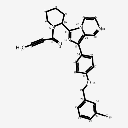 CC#CC(=O)N1CCCCC1c1nc(-c2ccc(OCc3cccc(F)c3)cc2)c2cnccn12